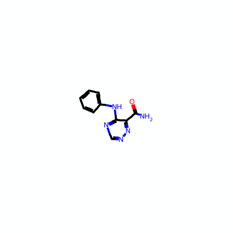 NC(=O)c1nncnc1Nc1ccccc1